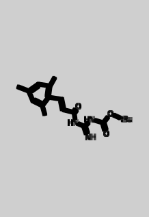 Cc1cc(C)c(/C=C/C(=O)NC(=N)NC(=O)OC(C)(C)C)c(C)c1